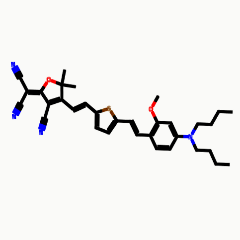 CCCCN(CCCC)c1ccc(/C=C/c2ccc(/C=C/C3=C(C#N)C(=C(C#N)C#N)OC3(C)C)s2)c(OC)c1